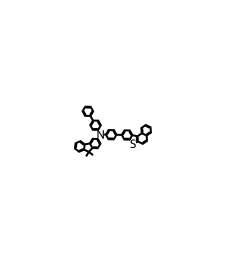 CC1(C)c2ccccc2-c2cc(N(c3ccc(-c4ccccc4)cc3)c3ccc(-c4ccc5c(c4)sc4ccc6ccccc6c45)cc3)ccc21